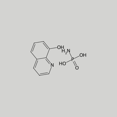 NP(=O)(O)O.Oc1cccc2cccnc12